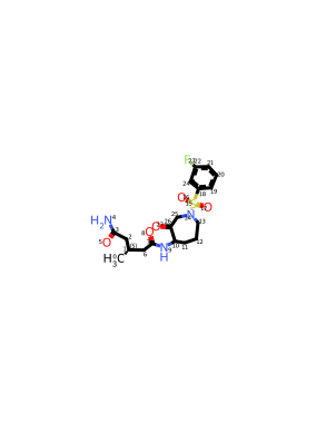 C[C@@H](CC(N)=O)CC(=O)NC1CCCN(S(=O)(=O)c2cccc(F)c2)CC1=O